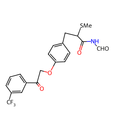 CSC(Cc1ccc(OCC(=O)c2cccc(C(F)(F)F)c2)cc1)C(=O)NC=O